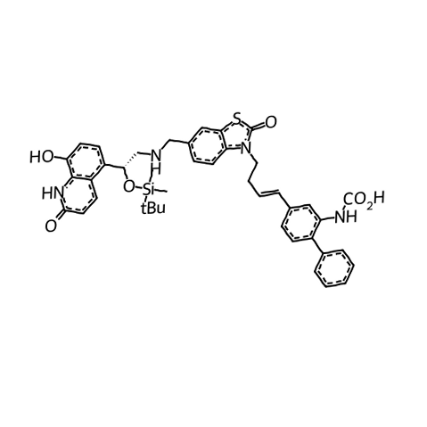 CC(C)(C)[Si](C)(C)O[C@@H](CNCc1ccc2c(c1)sc(=O)n2CC/C=C/c1ccc(-c2ccccc2)c(NC(=O)O)c1)c1ccc(O)c2[nH]c(=O)ccc12